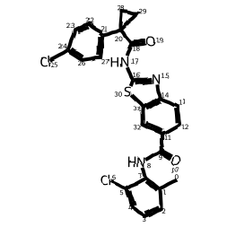 Cc1cccc(Cl)c1NC(=O)c1ccc2nc(NC(=O)C3(c4ccc(Cl)cc4)CC3)sc2c1